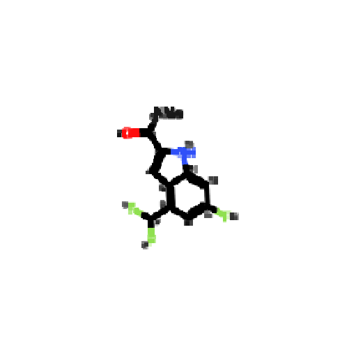 CNC(=O)c1cc2c(C(F)F)cc(F)cc2[nH]1